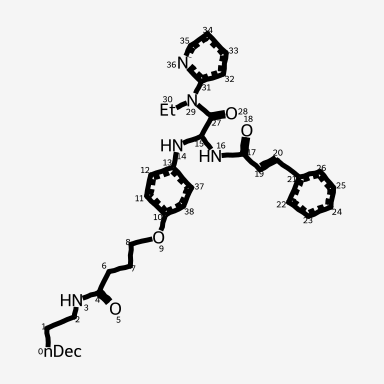 CCCCCCCCCCCCNC(=O)CCCOc1ccc(NC(NC(=O)C=Cc2ccccc2)C(=O)N(CC)c2ccccn2)cc1